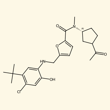 CC(=O)C1CC[C@@H](N(C)C(=O)c2ccc(CNc3cc(C(C)(C)C)c(Cl)cc3O)o2)C1